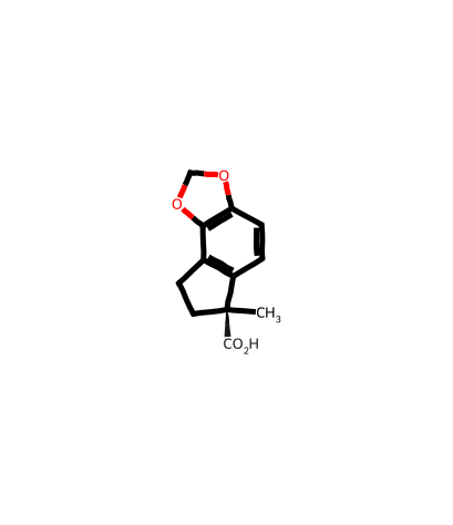 C[C@]1(C(=O)O)CCc2c1ccc1c2OCO1